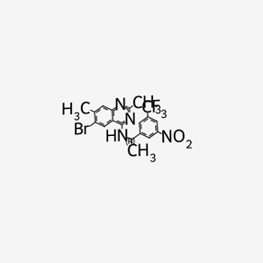 Cc1nc(N[C@H](C)c2cc([N+](=O)[O-])cc(C(F)(F)F)c2)c2cc(Br)c(C)cc2n1